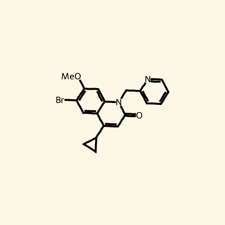 COc1cc2c(cc1Br)c(C1CC1)cc(=O)n2Cc1ccccn1